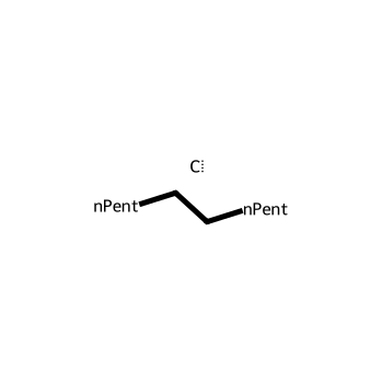 CCCCCCCCCCCC.[C]